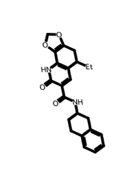 CCC1CC2=C(OCO2)c2[nH]c(=O)c(C(=O)NC3CCc4ccccc4C3)cc21